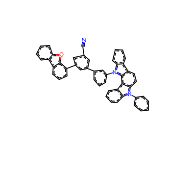 N#Cc1cc(-c2cccc(-n3c4ccccc4c4ccc5c(c6ccccc6n5-c5ccccc5)c43)c2)cc(-c2cccc3c2oc2ccccc23)c1